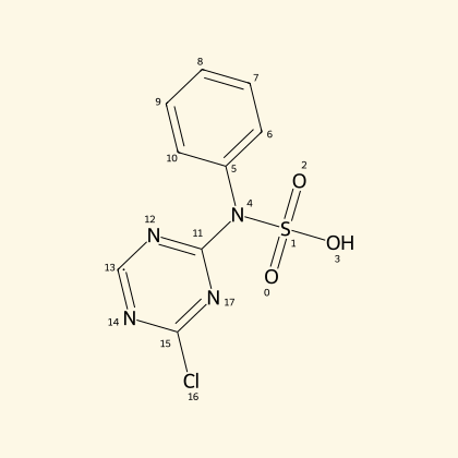 O=S(=O)(O)N(c1ccccc1)c1n[c]nc(Cl)n1